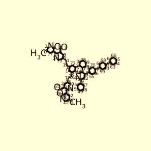 Cc1cnc2oc(=O)c3cc(CCc4cc(CCc5cnc6c(c5)c(=O)oc5ncc(C)cc56)cc(-c5ccccc5-c5cnc(-c6ccccc6)cc5-c5ccc(-c6ccc(-c7ccccc7)cc6)cc5)c4)cnc3c2c1